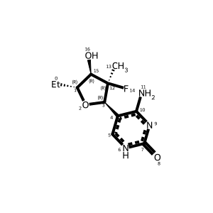 [CH2]C[C@H]1O[C@H](c2c[nH]c(=O)nc2N)[C@](C)(F)[C@@H]1O